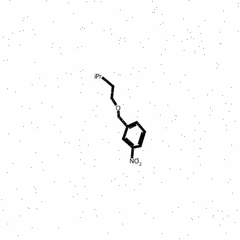 CC(C)CCOCc1cccc([N+](=O)[O-])c1